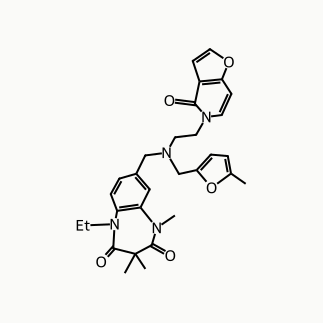 CCN1C(=O)C(C)(C)C(=O)N(C)c2cc(CN(CCn3ccc4occc4c3=O)Cc3ccc(C)o3)ccc21